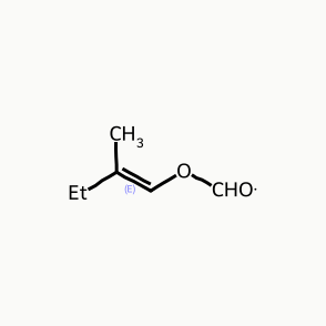 CC/C(C)=C/O[C]=O